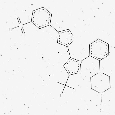 CN1CCN(c2ccccc2-n2nc(C(F)(F)F)cc2-c2cc(-c3cccc(S(N)(=O)=O)c3)cs2)CC1